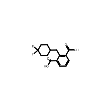 O=C(O)c1cccc(C(=O)O)c1CC1CCC(F)(F)CC1